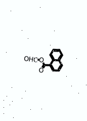 O=COC(=O)c1cccc2ccccc12